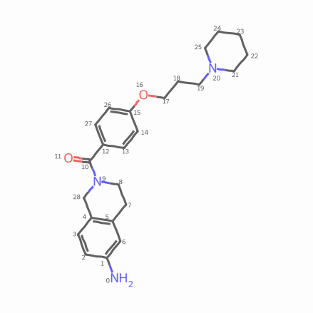 Nc1ccc2c(c1)CCN(C(=O)c1ccc(OCCCN3CCCCC3)cc1)C2